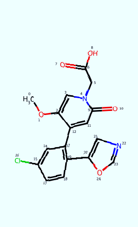 COc1cn(CC(=O)O)c(=O)cc1-c1cc(Cl)ccc1-c1cnco1